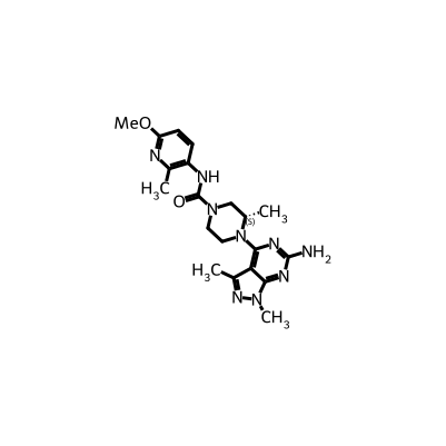 COc1ccc(NC(=O)N2CCN(c3nc(N)nc4c3c(C)nn4C)[C@@H](C)C2)c(C)n1